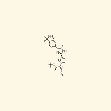 C=C/C=C(\C(=C)OC(C)(C)C)c1ccc(-c2nc(-c3ccc(C(C)(F)P)cc3)c(C)[nH]2)o1